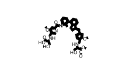 COC(=C=O)C(CO)NCc1ccc(/C=C2\CCc3c2cccc3-c2cccc(NC(=O)c3cc(OC)c(CNC(CO)C(=O)O)cn3)c2C)cc1OC